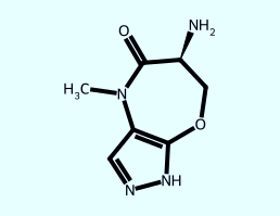 CN1C(=O)[C@@H](N)COc2[nH]ncc21